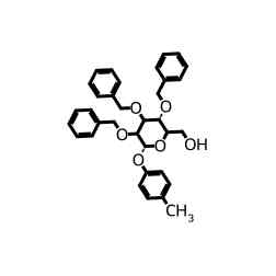 Cc1ccc(O[C@H]2OC(CO)[C@@H](OCc3ccccc3)C(OCc3ccccc3)C2OCc2ccccc2)cc1